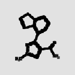 Cn1cc(C(N)=O)c(-c2cccc3c2C=CC3)n1